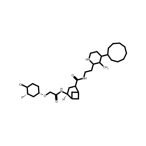 CC1C(CCNC(=O)C2C[C@H](NC(=O)CO[C@H]3CCC(Cl)[C@@H](F)C3)C3CC2C3)NCCC1C1CCCCCCCC1